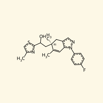 CC1=Cc2c(cnn2-c2ccc(F)cc2)C[C@]1(C)CC(O)c1nc(C)cs1